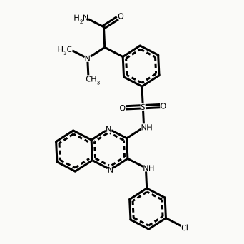 CN(C)C(C(N)=O)c1cccc(S(=O)(=O)Nc2nc3ccccc3nc2Nc2cccc(Cl)c2)c1